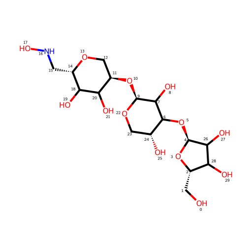 OC[C@@H]1O[C@@H](OC2C(O)[C@H](O[C@@H]3CO[C@@H](CNO)C(O)C3O)OC[C@H]2O)C(O)C1O